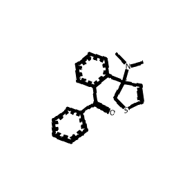 CN(C)C1(c2ccccc2C(=O)c2ccccc2)C=CSC1